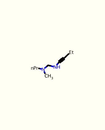 CCC#CNCN(C)CCC